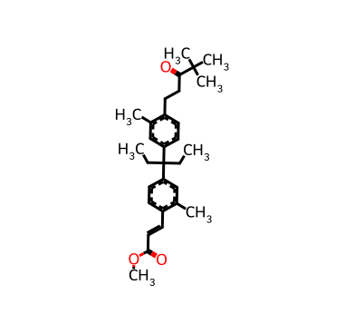 CCC(CC)(c1ccc(/C=C/C(=O)OC)c(C)c1)c1ccc(CCC(=O)C(C)(C)C)c(C)c1